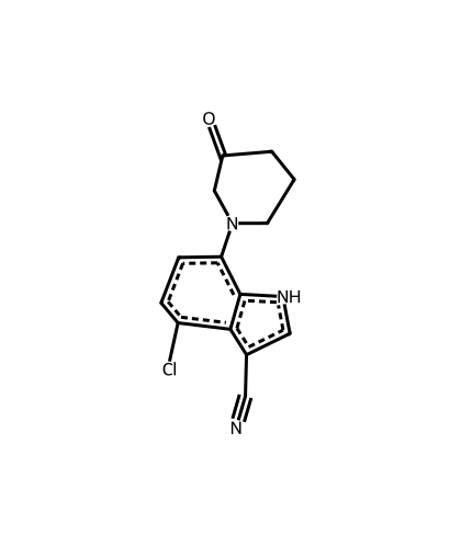 N#Cc1c[nH]c2c(N3CCCC(=O)C3)ccc(Cl)c12